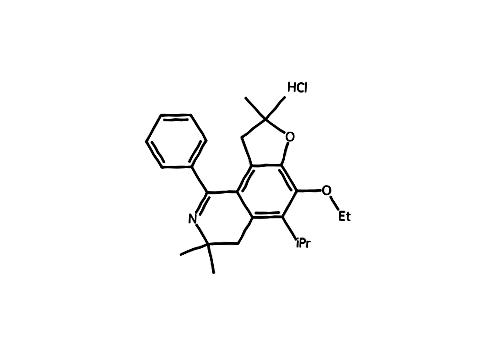 CCOc1c2c(c3c(c1C(C)C)CC(C)(C)N=C3c1ccccc1)CC(C)(C)O2.Cl